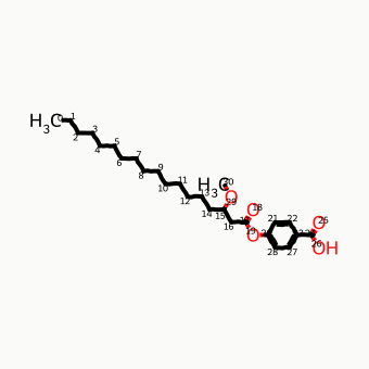 CCCCCCCCCCCCCCCC(CC(=O)Oc1ccc(C(=O)O)cc1)OC